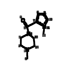 CN1CCN(C(=O)c2c[c]cn2C)CC1